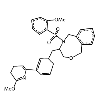 COC1=NC(C2=CC(CC3COCc4ccccc4CN3S(=O)(=O)c3ccccc3OC)CC=C2)=CCC1